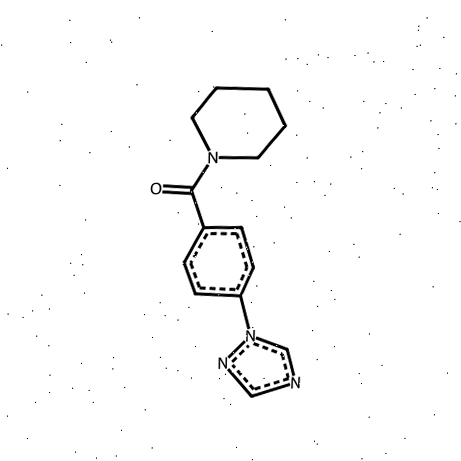 O=C(c1ccc(-n2cncn2)cc1)N1CCCCC1